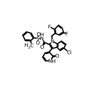 Cc1ccccc1S(=O)(=O)NC(=O)c1c(-c2ccc[nH]c2=O)c2cc(Cl)ccc2n1Cc1cc(F)ccc1F